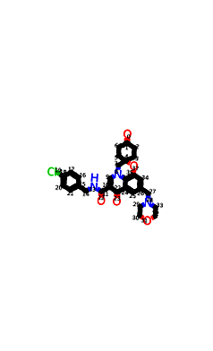 O=C1CCC2(CC1)Cn1cc(C(=O)NCc3ccc(Cl)cc3)c(=O)c3cc(CN4CCOCC4)cc(c31)O2